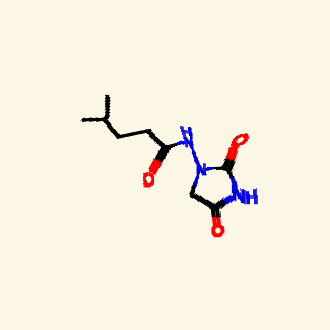 CC(C)CCC(=O)NN1CC(=O)NC1=O